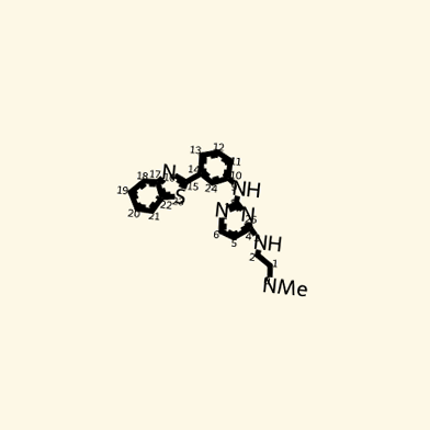 CNCCNc1ccnc(Nc2cccc(-c3nc4ccccc4s3)c2)n1